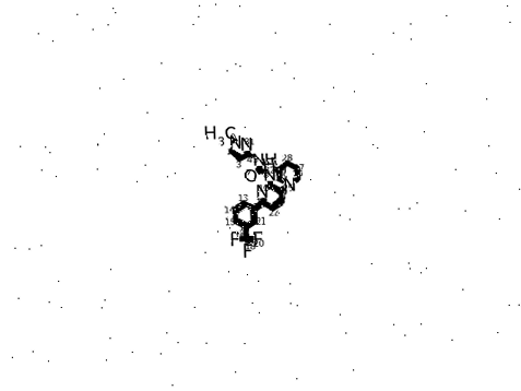 Cn1ccc(NC(=O)N2c3nc(-c4cccc(C(F)(F)F)c4)ccc3N3CCC[C@H]2C3)n1